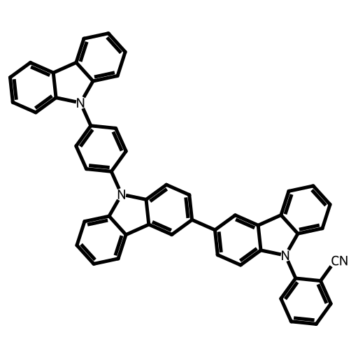 N#Cc1ccccc1-n1c2ccccc2c2cc(-c3ccc4c(c3)c3ccccc3n4-c3ccc(-n4c5ccccc5c5ccccc54)cc3)ccc21